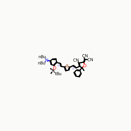 [C-]#[N+]C1=C(/C=C/c2ccc(/C=C/c3ccc(N(CCCC)CCCC)cc3O[Si](C)(C)C(C)(C)C)s2)C(C)(c2ccccc2)OC1=C(C#N)C#N